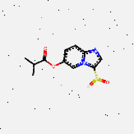 CC(C)C(=O)Oc1ccc2ncc([SH](=O)=O)n2c1